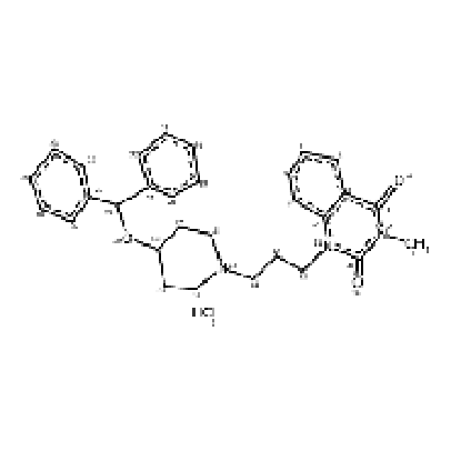 Cl.Cn1c(=O)c2ccccc2n(CCCN2CCC(OC(c3ccccc3)c3ccccc3)CC2)c1=O